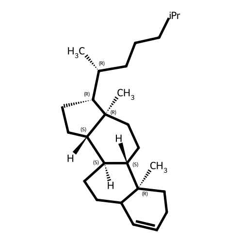 CC(C)CCC[C@@H](C)[C@H]1CC[C@H]2[C@@H]3CCC4C=CCC[C@]4(C)[C@H]3CC[C@]12C